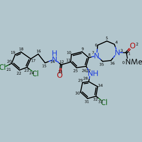 CNC(=O)N1CCCN(c2ccc(C(=O)NCCc3ccc(Cl)cc3Cl)cc2Nc2cccc(Cl)c2)CC1